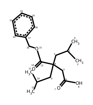 CC(C)CC(CC(=O)O)(CC(C)C)C(=O)OCc1ccccc1